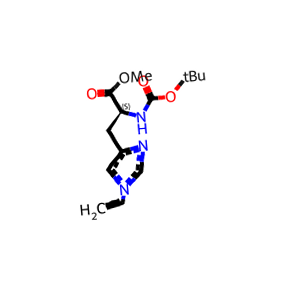 C=Cn1cnc(C[C@H](NC(=O)OC(C)(C)C)C(=O)OC)c1